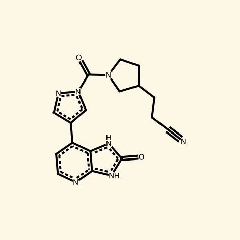 N#CCCC1CCN(C(=O)n2cc(-c3ccnc4[nH]c(=O)[nH]c34)cn2)C1